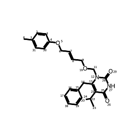 Cc1ccc(OCC=CCOCn2c(Cc3ccccc3)c(C(C)C)c(=O)[nH]c2=O)cc1